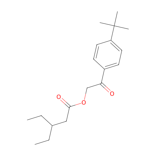 CCC(CC)CC(=O)OCC(=O)c1ccc(C(C)(C)C)cc1